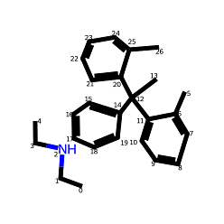 CCNCC.Cc1ccccc1C(C)(c1ccccc1)c1ccccc1C